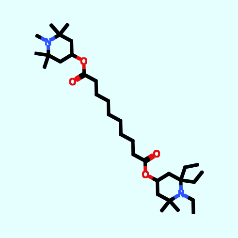 CCN1C(C)(C)CC(OC(=O)CCCCCCCCC(=O)OC2CC(C)(C)N(C)C(C)(C)C2)CC1(CC)CC